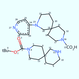 CC(C)(C)OC(=O)N1CCC2(CCCNC2)CC1.O=C(O)N1CCC2(CCCN(c3ccncc3)C2)CC1